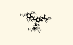 Cc1cc(C)c(NC(=O)c2cc3sc(NC(=O)O)nc3cc2OC(=O)OC(C)(C)C)c(C)c1